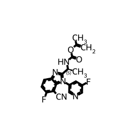 C=C(C)OC(=O)N[C@@H](C)c1nc2ccc(F)c(C#N)c2n1-c1cncc(F)c1